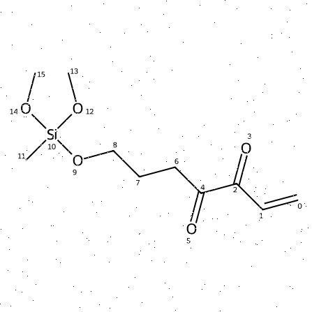 C=CC(=O)C(=O)CCCO[Si](C)(OC)OC